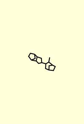 CC1C2CCC(C2)CC1C1CC2C3CCC(C3)C2C1